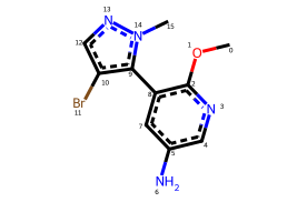 COc1ncc(N)cc1-c1c(Br)cnn1C